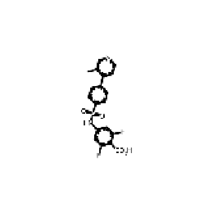 Cc1cnccc1-c1ccc(S(=O)(=O)Nc2cc(F)c(C(=O)O)c(F)c2)cc1